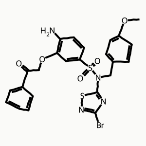 COc1ccc(CN(c2nc(Br)ns2)S(=O)(=O)c2ccc(N)c(OCC(=O)c3ccccc3)c2)cc1